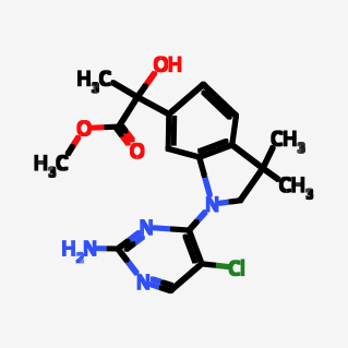 COC(=O)C(C)(O)c1ccc2c(c1)N(c1nc(N)ncc1Cl)CC2(C)C